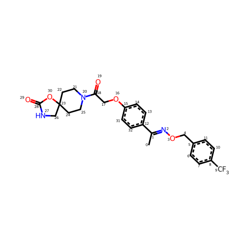 CC(=NOCc1ccc(C(F)(F)F)cc1)c1ccc(OCC(=O)N2CCC3(CC2)CNC(=O)O3)cc1